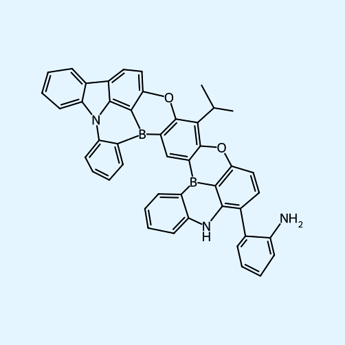 CC(C)c1c2c(cc3c1Oc1ccc4c5ccccc5n5c4c1B3c1ccccc1-5)B1c3ccccc3Nc3c(-c4ccccc4N)ccc(c31)O2